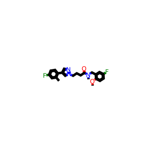 COc1ccc(F)cc1CN(C)C(=O)CCCn1cc(-c2ccc(F)cc2C)cn1